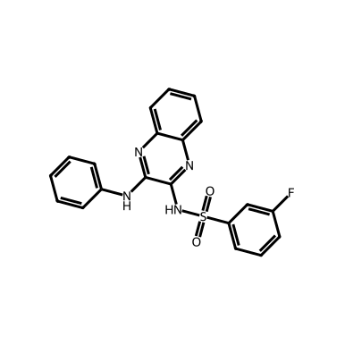 O=S(=O)(Nc1nc2ccccc2nc1Nc1ccccc1)c1cccc(F)c1